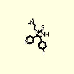 CN(C)CCn1c(-c2ccncc2)c(-c2ccc(F)cc2)[nH]c1=S